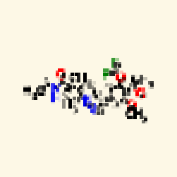 CCNC(=O)C(C)(C)c1ccc2c(-c3cc(OC)c(C(C)=O)c(OC(F)F)c3)cnn2c1